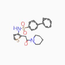 O=C(Cc1sccc1NS(=O)(=O)c1ccc(-c2ccccc2)cc1)N1CCCCC1